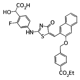 CCOC(=O)c1ccc(COc2cc3ccccc3cc2C=C2SC(Nc3ccc(C(O)C(=O)O)c(F)c3)=NC2=O)cc1